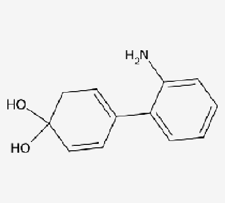 Nc1ccccc1C1=CCC(O)(O)C=C1